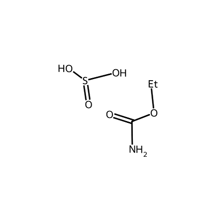 CCOC(N)=O.O=S(O)O